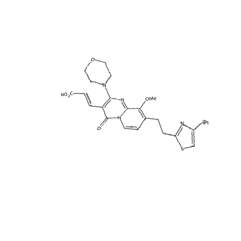 COc1c(CCc2nc(C(C)C)cs2)ccn2c(=O)c(C=CC(=O)O)c(N3CCOCC3)nc12